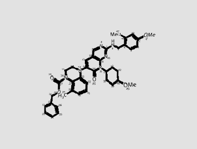 COc1ccc(CNc2ncc3cc(N4CCN(C(=O)OCc5ccccc5)c5c(C)cccc54)c(=O)n(C4CCC(OC)CC4)c3n2)c(OC)c1